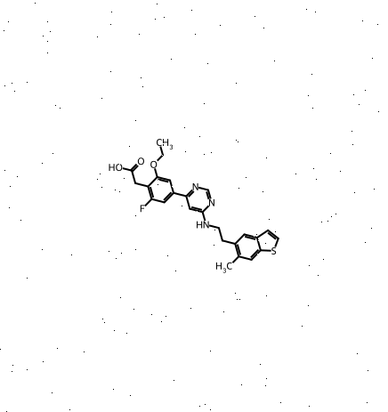 CCOc1cc(-c2cc(NCCc3cc4ccsc4cc3C)ncn2)cc(F)c1CC(=O)O